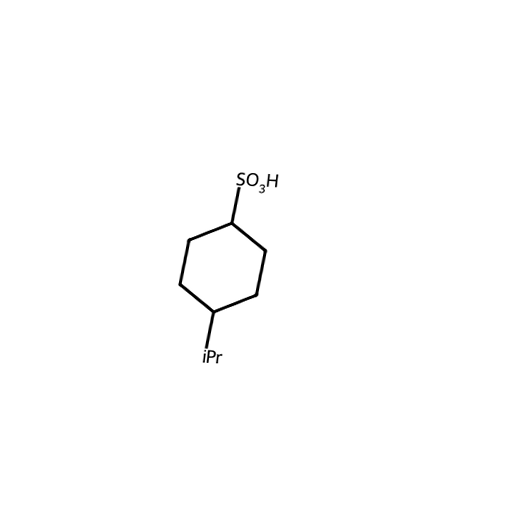 CC(C)C1CCC(S(=O)(=O)O)CC1